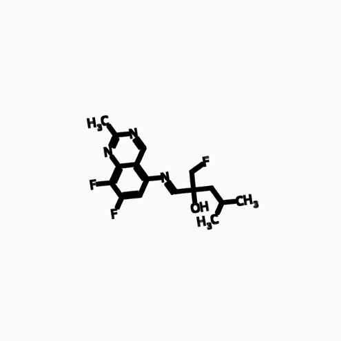 Cc1ncc2c(N=CC(O)(CF)CC(C)C)cc(F)c(F)c2n1